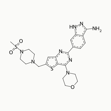 CS(=O)(=O)N1CCN(Cc2cc3nc(-c4ccc5c(N)n[nH]c5c4)nc(N4CCOCC4)c3s2)CC1